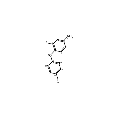 Cc1cc(N)ccc1Oc1ncc(F)cn1